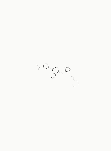 NC(=O)c1cc(-c2cnc(Nc3nccn3CCN3CCOCC3)c3ncnn23)co1